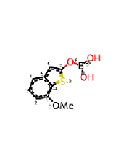 COc1cccc2cc(OB(O)O)sc12